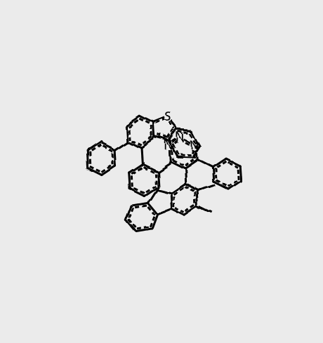 Cc1cc2c(c(-c3c(-c4ccccc4)nnnc3-c3ccccc3-c3c(-c4ccccc4)ccc4sc5ccccc5c34)c1C)Cc1ccccc1-2